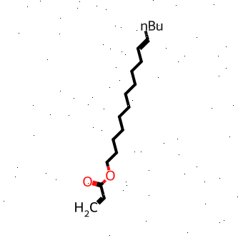 C=CC(=O)OCCCCCCCCCCC=CCCCC